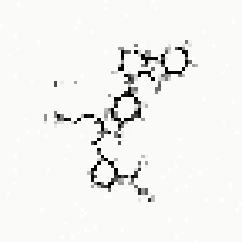 Cl.NCCc1c(Cc2cccc(C(N)=O)c2)[nH]c2ccc(-c3cccc4c3oc3ccccc34)cc12